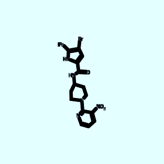 CC(C)c1[nH]c(C(=O)NC2CCN(c3ncccc3[N+](=O)[O-])CC2)cc1Br